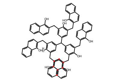 Oc1c(Cc2ccc3ccccc3c2O)cc(C(c2cc(Cc3ccc4ccccc4c3O)c(O)c(Cc3ccc4ccccc4c3O)c2)c2cc(Cc3ccc4ccccc4c3O)c(O)c(Cc3ccc4ccccc4c3O)c2)cc1Cc1ccc2ccccc2c1O